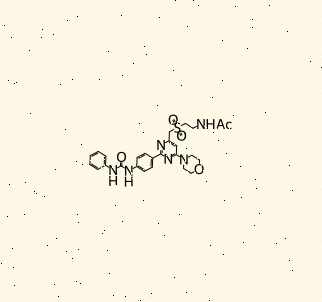 CC(=O)NCCS(=O)(=O)Cc1cc(N2CCOCC2)nc(-c2ccc(NC(=O)Nc3ccccc3)cc2)n1